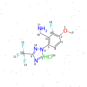 COc1ccc(-n2cnc(C(F)(F)F)n2)c(CN)c1F.Cl